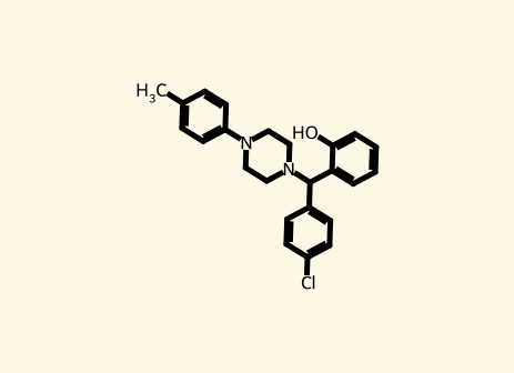 Cc1ccc(N2CCN(C(c3ccc(Cl)cc3)c3ccccc3O)CC2)cc1